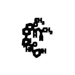 C=C(C#N)CNc1c(OC)ccc2ccc(-c3ccnc(C(=O)N[C@H]4CCCNC4)n3)cc12